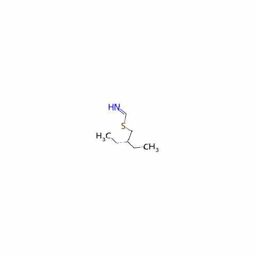 CCC(CC)CSC=N